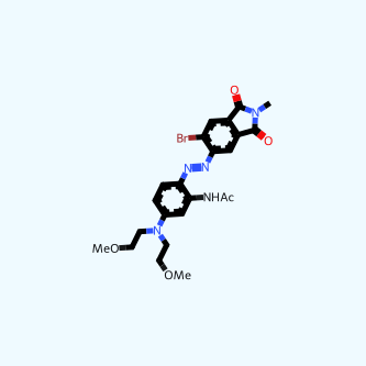 COCCN(CCOC)c1ccc(N=Nc2cc3c(cc2Br)C(=O)N(C)C3=O)c(NC(C)=O)c1